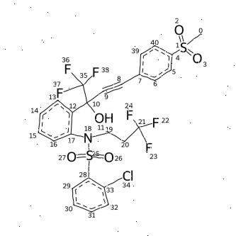 CS(=O)(=O)c1ccc(C#CC(O)(c2ccccc2N(CCC(F)(F)F)S(=O)(=O)c2ccccc2Cl)C(F)(F)F)cc1